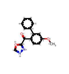 COc1ccc(C(=O)c2nnco2)c(-c2ccccc2)c1